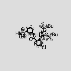 CC(C)(C)NS(=O)(=O)c1cccc(NC(=O)c2ncc(Cl)nc2NC(C)(CO[Si](C)(C)C(C)(C)C)O[Si](C)(C)C(C)(C)C)n1